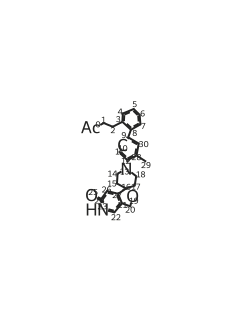 CC(=O)CCc1ccccc1-c1ccc(N2CCC3(CC2)OCc2c[nH]c(=O)cc23)c(C)c1